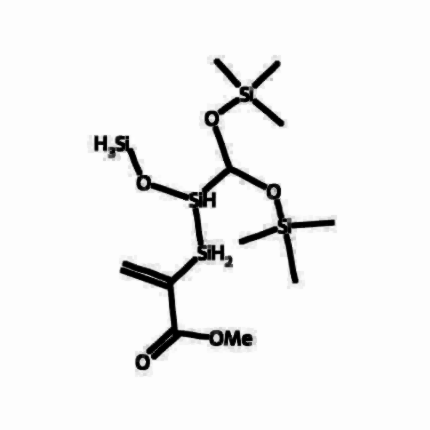 C=C([SiH2][SiH](O[SiH3])C(O[Si](C)(C)C)O[Si](C)(C)C)C(=O)OC